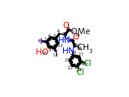 COC(=O)[C@H](Cc1cc(I)c(O)c(I)c1)NC(=O)[C@H](C)Nc1ccc(Cl)c(Cl)c1